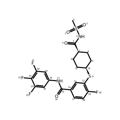 CS(=O)(=O)NC(=O)[C@H]1CC[C@@H](Sc2cc(C(=O)Nc3cc(F)c(F)c(F)c3)ccc2F)CC1